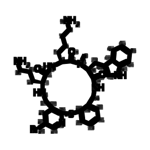 CN1C(=O)[C@H](CCCCN)NC(=O)[C@H](CCCN)NCc2cc(Br)cnc2Sc2ccccc2CNC(=O)[C@@H]1Cc1c[nH]c2ccccc12